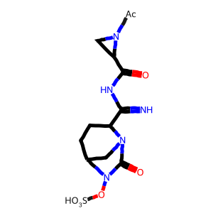 CC(=O)N1CC1C(=O)NC(=N)C1CCC2CN1C(=O)N2OS(=O)(=O)O